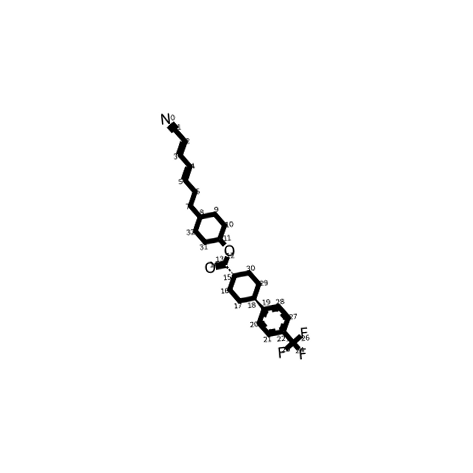 N#CC=C/C=C/CCC1CCC(OC(=O)[C@H]2CC[C@H](c3ccc(C(F)(F)F)cc3)CC2)CC1